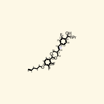 C=CCCCOc1ccc(C2OCC(/C=C/c3ccc(C(O)CCC)c(F)c3)CO2)c(F)c1F